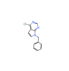 Clc1ncnc2c1ccn2Cc1ccccc1